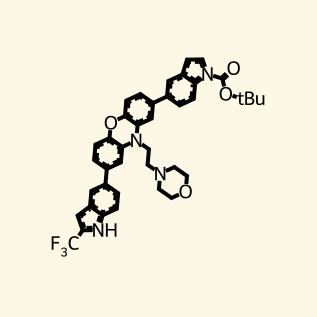 CC(C)(C)OC(=O)n1ccc2cc(-c3ccc4c(c3)N(CCN3CCOCC3)c3cc(-c5ccc6[nH]c(C(F)(F)F)cc6c5)ccc3O4)ccc21